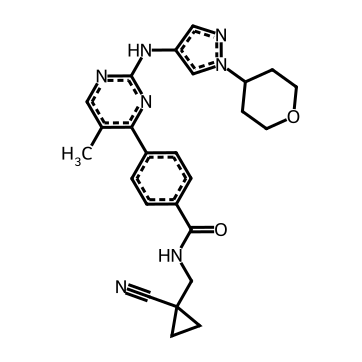 Cc1cnc(Nc2cnn(C3CCOCC3)c2)nc1-c1ccc(C(=O)NCC2(C#N)CC2)cc1